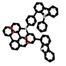 c1ccc(-c2cccc3cccc(-c4ccccc4N(c4ccc(-c5cccc6c7ccccc7n(-c7ccccc7)c56)cc4)c4cccc(-c5cccc6c5sc5ccccc56)c4)c23)cc1